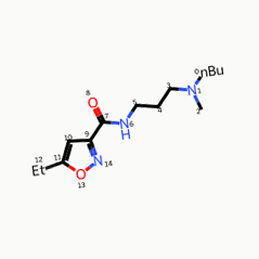 CCCCN(C)CCCNC(=O)c1cc(CC)on1